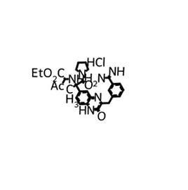 CCOC(=O)C(NC(C)(C(=O)N1CCCC1)c1ccc2[nH]c(=O)c(Cc3cccc(C(=N)N)c3)nc2c1)C(C)=O.Cl